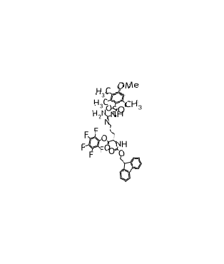 COc1cc(C)c(S(=O)(=O)NC(N)=NCCC[C@H](NC(=O)OCC2c3ccccc3-c3ccccc32)C(=O)Oc2c(F)c(F)c(F)c(F)c2F)c(C)c1C